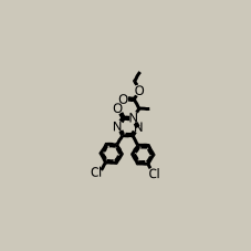 CCOC(=O)C(C)n1nc(-c2ccc(Cl)cc2)c(-c2ccc(Cl)cc2)nc1=O